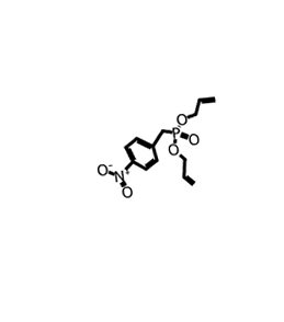 C=CCOP(=O)(Cc1ccc([N+](=O)[O-])cc1)OCC=C